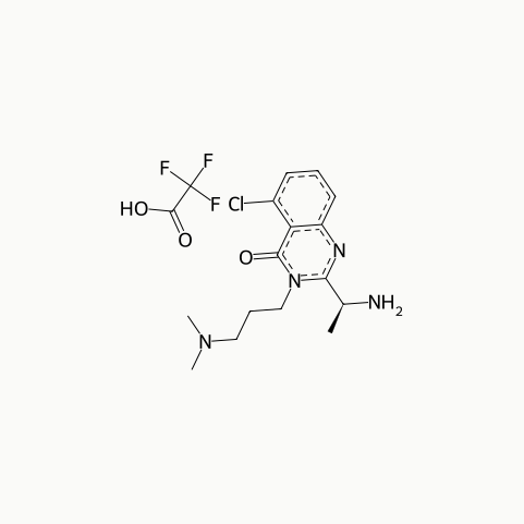 C[C@H](N)c1nc2cccc(Cl)c2c(=O)n1CCCN(C)C.O=C(O)C(F)(F)F